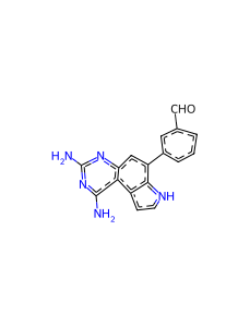 Nc1nc(N)c2c(cc(-c3cccc(C=O)c3)c3[nH]ccc32)n1